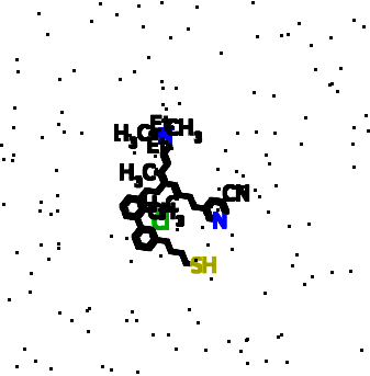 CCC(C)(CC)N(C)C/C=C/C(C)=C(\C=C(/C)CCc1cncc(C#N)c1)CCc1cccc(-c2cccc(CCCCS)c2Cl)c1C